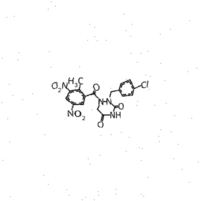 Cc1c(C(=O)N2CC(=O)NC(=O)N2Cc2ccc(Cl)cc2)cc([N+](=O)[O-])cc1[N+](=O)[O-]